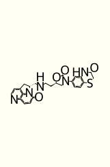 O=C1CSc2ccc(N3C[C@@H](CCNC[C@H]4Cc5ccnc6ccc(=O)n4c56)OC3=O)cc2N1